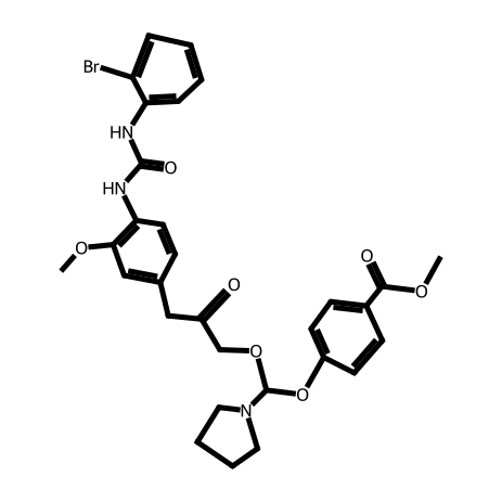 COC(=O)c1ccc(OC(OCC(=O)Cc2ccc(NC(=O)Nc3ccccc3Br)c(OC)c2)N2CCCC2)cc1